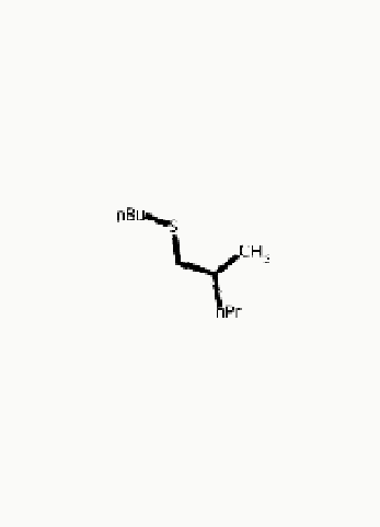 CCCCSCC(C)CCC